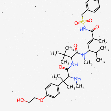 CNC(C(=O)NC(C(=O)N(C)C(C=C(C)C(=O)NS(=O)(=O)Cc1ccccc1)C(C)C)C(C)(C)C)C(C)(C)c1ccc(OCCO)cc1